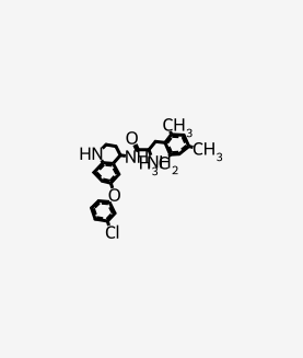 Cc1cc(C)c(CC(N)C(=O)NC2CCNc3ccc(Oc4cccc(Cl)c4)cc32)c(C)c1